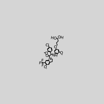 COc1cc(NC(C(=O)N2CCc3cc(OC)c(C(F)(F)F)cc32)c2ccc(Cl)cc2OC)cc(OCCCC(O)O)c1